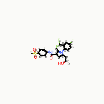 Cc1c(C(=O)Nc2ccc(S(C)(=O)=O)cc2)cc(C[C@H](C)O)n1-c1ccc(F)cc1C(F)F